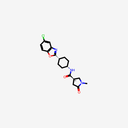 CN1C[C@H](C(=O)N[C@H]2CC[C@@H](c3nc4cc(Cl)ccc4o3)CC2)CC1=O